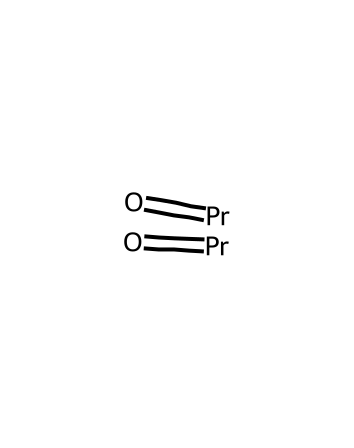 [O]=[Pr].[O]=[Pr]